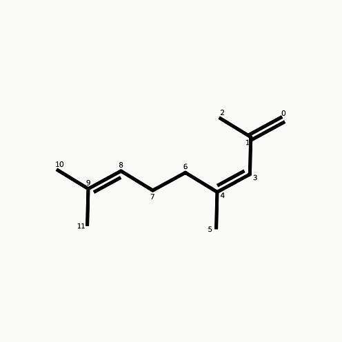 C=C(C)C=C(C)CCC=C(C)C